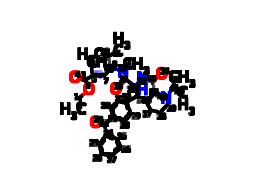 CCOC(=O)/C(C)=C/[C@H](C(C)C)N(C)C(=O)[C@H](Cc1ccc(C(=O)c2ccccc2)cc1)NC(=O)[C@H]1CCCCN1C(C)C